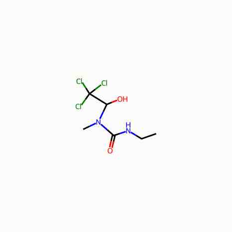 CCNC(=O)N(C)C(O)C(Cl)(Cl)Cl